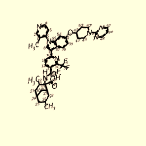 Cc1cnccc1-n1cc(-c2ccc(C(=O)NC3(C(=O)O)C(C)CC4CC(C)CC3C4)c(C(F)(F)F)n2)c2ccc(OC3CCN(c4ncccn4)CC3)cc21